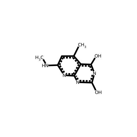 CNc1cc(C)c2c(O)nc(O)nc2n1